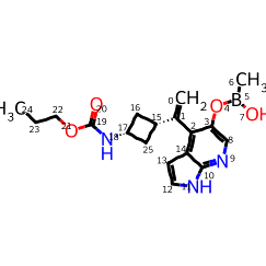 C=C(c1c(OB(C)O)cnc2[nH]ccc12)[C@H]1C[C@@H](NC(=O)OCCC)C1